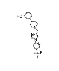 Oc1cccc(C2CCN(Cc3cn(-c4ccc(C(F)(F)F)cn4)nn3)CC2)c1